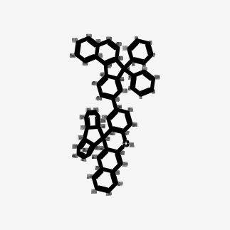 c1ccc(C2(c3ccccc3)c3cc(-c4ccc5c(c4)C4(c6cc7ccccc7cc6O5)c5ccccc5-c5ccccc54)ccc3-c3c2ccc2ccccc32)cc1